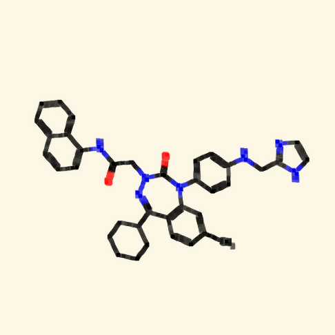 Cc1ccc2c(c1)N(c1ccc(NCc3ncc[nH]3)cc1)C(=O)N(CC(=O)Nc1cccc3ccccc13)N=C2C1CCCCC1